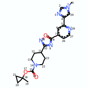 Cn1cnc(-c2cc(-c3nc(C4CCN(C(=O)OC5(C)CC5)CC4)no3)ccn2)c1